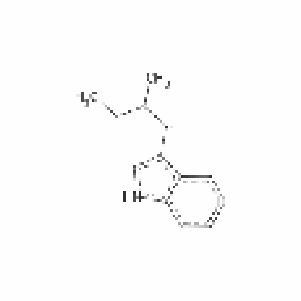 CCC(C)[CH]c1c[nH]c2ccccc12